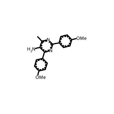 COc1ccc(-c2nc(C)c(N)c(-c3ccc(OC)cc3)n2)cc1